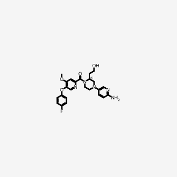 COc1cc(C(=O)N2CCN(c3ccc(N)nc3)C[C@@H]2CCO)ncc1Oc1ccc(F)cc1